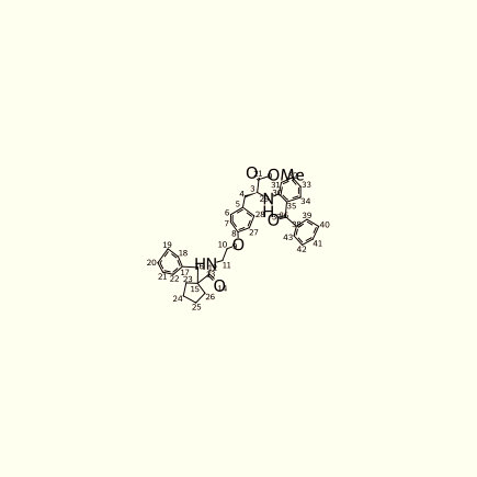 COC(=O)[C@H](Cc1ccc(OCCNC(=O)C2(Cc3ccccc3)CCCC2)cc1)Nc1ccccc1C(=O)c1ccccc1